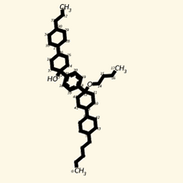 CCCCCC1CCC(C2CCC(OCCCC)(c3ccc(C4(O)CCC(C5CCC(CCC)CC5)CC4)cc3)CC2)CC1